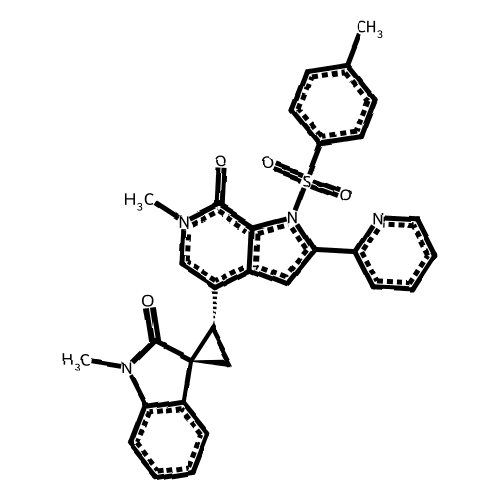 Cc1ccc(S(=O)(=O)n2c(-c3ccccn3)cc3c([C@@H]4C[C@@]45C(=O)N(C)c4ccccc45)cn(C)c(=O)c32)cc1